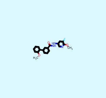 COc1ccccc1-c1cccc(C(=O)NNc2cnc(OC)c(F)c2)c1